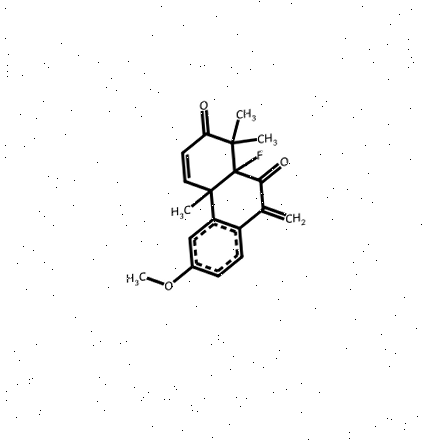 C=C1C(=O)C2(F)C(C)(C)C(=O)C=CC2(C)c2cc(OC)ccc21